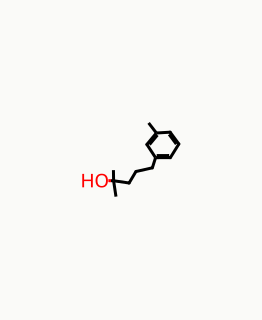 Cc1cccc(CCCC(C)(C)O)c1